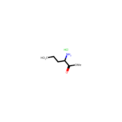 COC(=O)C(N)CCC(=O)O.Cl